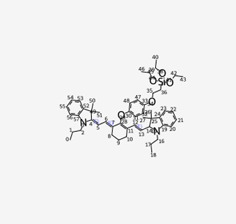 CCCN1/C(=C/C=C2\CCCC(/C=C/C3N(CCC)c4ccccc4C3(C)C)=C2Oc2ccc(OCC[Si](OCC)(OCC)OCC)cc2)C(C)(C)c2ccccc21